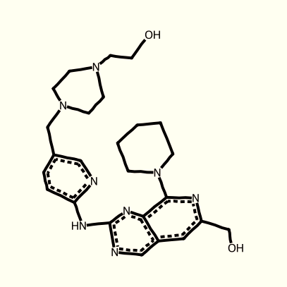 OCCN1CCN(Cc2ccc(Nc3ncc4cc(CO)nc(N5CCCCC5)c4n3)nc2)CC1